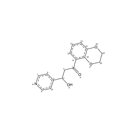 O=C(CC(O)c1ccncc1)c1cccc2c1OCCO2